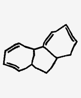 C1=CCC2CC3C=CC=CC3C2=C1